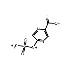 CS(=O)(=O)Nc1cnc(C(=O)O)cn1